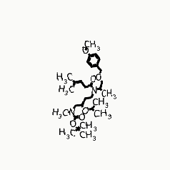 COc1ccc(COCC(C)N(CCC(CN(C)C(=O)OC(C)(C)C)OC(C)C)C(=O)CCC(C)C)cc1